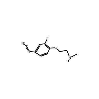 CN(C)CCOc1ccc(N=[N+]=[N-])cc1Cl